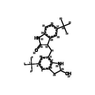 CC(C)(C)c1cc2c(c(CC3C(=O)Nc4ccc(C(C)(C)C)cc43)c1)NC(O)C2